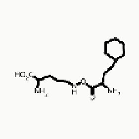 NC(CCCNOC(=O)C(N)CCC1CCCCC1)C(=O)O